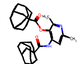 Cc1cc(NC(=O)C23CC4CC(CC(C4)C2)C3)c(OC(=O)C23CC4CC(CC(C4)C2)C3)c(C)n1